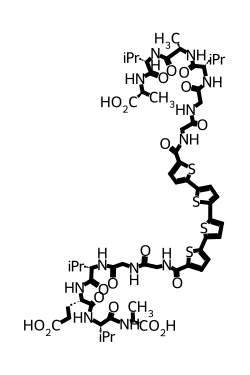 CC(C)[C@H](NC(=O)CNC(=O)CNC(=O)c1ccc(-c2ccc(-c3ccc(-c4ccc(C(=O)NCC(=O)NCC(=O)N[C@H](C(=O)N[C@@H](CCC(=O)O)C(=O)N[C@H](C(=O)N[C@@H](C)C(=O)O)C(C)C)C(C)C)s4)s3)s2)s1)C(=O)N[C@@H](C)C(=O)N[C@H](C(=O)N[C@@H](C)C(=O)O)C(C)C